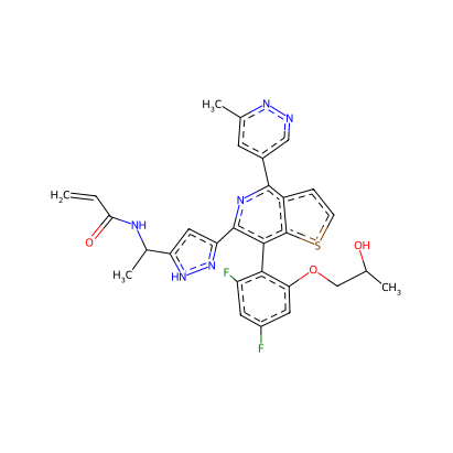 C=CC(=O)NC(C)c1cc(-c2nc(-c3cnnc(C)c3)c3ccsc3c2-c2c(F)cc(F)cc2OCC(C)O)n[nH]1